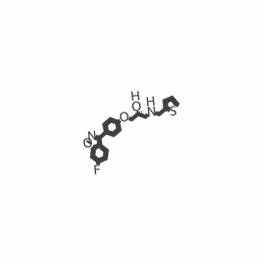 O[C@H](CNCc1cccs1)COc1ccc(-c2noc3cc(F)ccc23)cc1